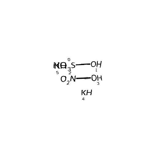 O=S(=O)(O)O.O=[N+]([O-])O.[KH].[KH]